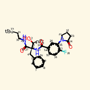 CCC[C@H](O)[C@](Cc1ccccc1)(NC(=O)c1ccc(F)c(N2CCCC2=O)c1)C(=O)NCCC(C)(C)C